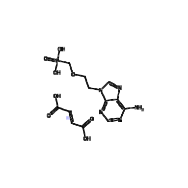 Nc1ncnc2c1ncn2CCOCP(=O)(O)O.O=C(O)/C=C/C(=O)O